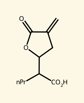 [CH2]CCC(C(=O)O)C1CC(=C)C(=O)O1